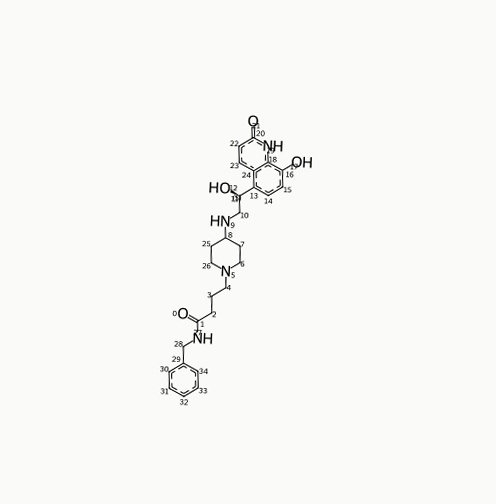 O=C(CCCN1CCC(NC[C@@H](O)c2ccc(O)c3[nH]c(=O)ccc23)CC1)NCc1ccccc1